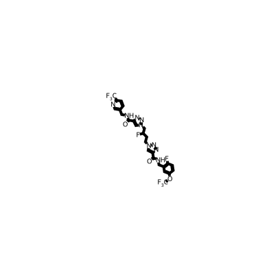 O=C(NCc1cc(OC(F)(F)F)ccc1F)c1cn(CCC(F)Cn2cc(C(=O)NCc3ccc(C(F)(F)F)nc3)nn2)nn1